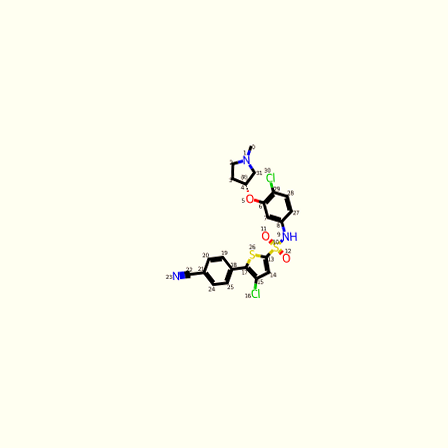 CN1CC[C@@H](Oc2cc(NS(=O)(=O)c3cc(Cl)c(-c4ccc(C#N)cc4)s3)ccc2Cl)C1